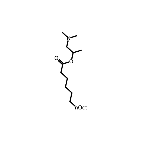 CCCCCCCCCCCCCC(=O)OC(C)CN(C)C